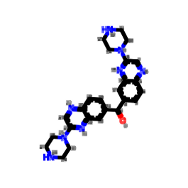 O=C(c1ccc2ncc(N3CCNCC3)nc2c1)c1ccc2ncc(N3CCNCC3)nc2c1